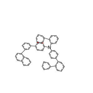 c1ccc(-c2ccccc2-c2ccc(N(c3ccc(-c4cccc(-c5cccc6ccccc56)c4)cc3)c3ccccc3-c3ccccc3)cc2)cc1